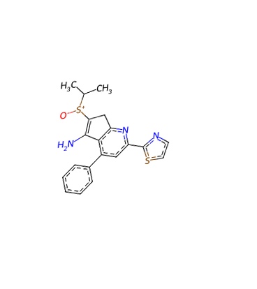 CC(C)[S+]([O-])C1=C(N)c2c(-c3ccccc3)cc(-c3nccs3)nc2C1